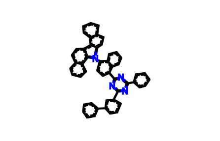 c1ccc(-c2cccc(-c3nc(-c4ccccc4)nc(-c4ccc(-n5c6ccc7ccccc7c6c6ccc7ccccc7c65)c5ccccc45)n3)c2)cc1